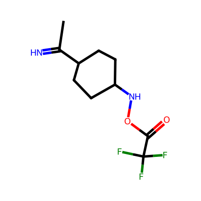 CC(=N)C1CCC(NOC(=O)C(F)(F)F)CC1